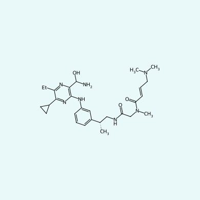 CCc1nc(C(N)O)c(Nc2cccc([C@@H](C)CNC(=O)CN(C)C(=O)/C=C/CN(C)C)c2)nc1C1CC1